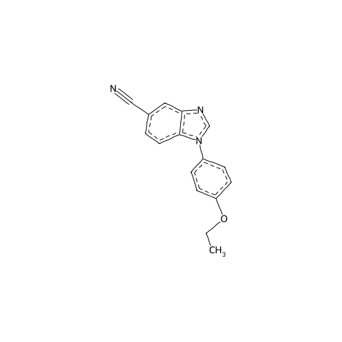 CCOc1ccc(-n2cnc3cc(C#N)ccc32)cc1